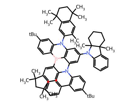 Cc1cc2c(cc1N1c3cc(C(C)(C)C)ccc3B3c4cc5c(cc4N(c4ccc(C(C)(C)C)cc4-c4ccccc4)c4cc(N6c7ccccc7C7(C)CCCCC67C)cc1c43)C(C)(C)CC5(C)C)C(C)(C)CCC2(C)C